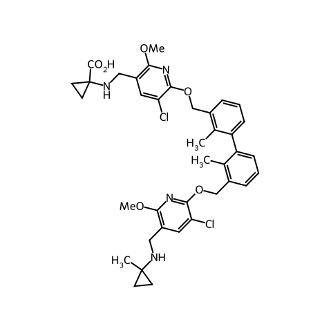 COc1nc(OCc2cccc(-c3cccc(COc4nc(OC)c(CNC5(C(=O)O)CC5)cc4Cl)c3C)c2C)c(Cl)cc1CNC1(C)CC1